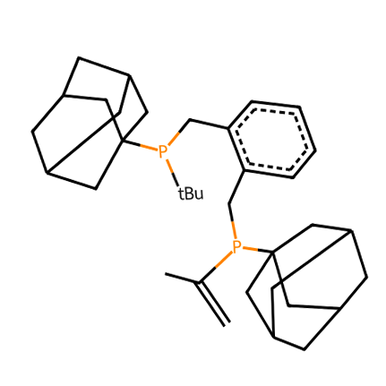 C=C(C)P(Cc1ccccc1CP(C(C)(C)C)C12CC3CC(CC(C3)C1)C2)C12CC3CC(CC(C3)C1)C2